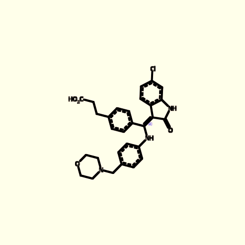 O=C(O)CCc1ccc(/C(Nc2ccc(CN3CCOCC3)cc2)=C2/C(=O)Nc3cc(Cl)ccc32)cc1